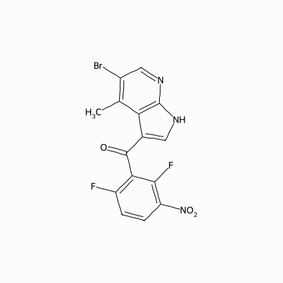 Cc1c(Br)cnc2[nH]cc(C(=O)c3c(F)ccc([N+](=O)[O-])c3F)c12